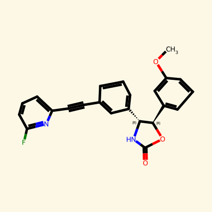 COc1cccc([C@H]2OC(=O)N[C@@H]2c2cccc(C#Cc3cccc(F)n3)c2)c1